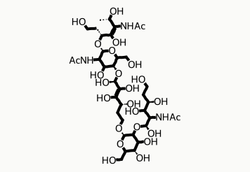 CC(=O)N/C(=C(\O)[C@@H](CCO)O[C@@H]1OC(CO)[C@@H](O[C@H](O)/C(O)=C(\O)[C@H](O)CCO[C@H]2OC(CO)[C@@H](O)C(O)C2O[C@H](O)C(NC(C)=O)C(O)[C@H](O)CCO)C(O)C1NC(C)=O)[C@H](C)O